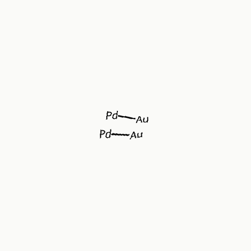 [Pd][Au].[Pd][Au]